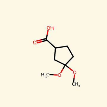 COC1(OC)CCC(C(=O)O)C1